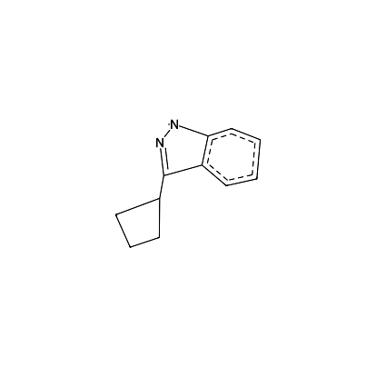 c1ccc2c(c1)[N]N=C2C1CCC1